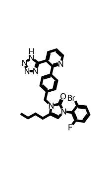 CCCCc1cn(-c2c(F)cccc2Br)c(=O)n1Cc1ccc(-c2ncccc2-c2nnn[nH]2)cc1